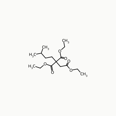 CCOC(=O)CC(CCC(C)C)(C(=O)OCC)C(=O)OCC